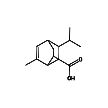 CC1=CC2CC(C(=O)O)C1CC2C(C)C